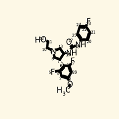 COc1cc(F)c([C@@H]2CN(CCO)C[C@H]2NC(=O)Nc2ccc(F)cc2)c(F)c1